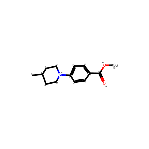 CC1CCN(c2ccc(C(=O)OC(C)(C)C)cc2)CC1